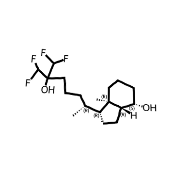 C[C@H](CCCC(O)(C(F)F)C(F)F)[C@H]1CC[C@H]2[C@@H](O)CCC[C@]12C